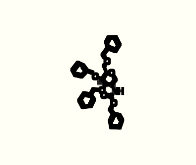 O=C(N[C@H]1CO[C@H](COCc2ccccc2)[C@H](OCc2ccccc2)[C@@H]1OCc1ccccc1)OCc1ccccc1